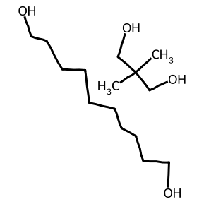 CC(C)(CO)CO.OCCCCCCCCCCO